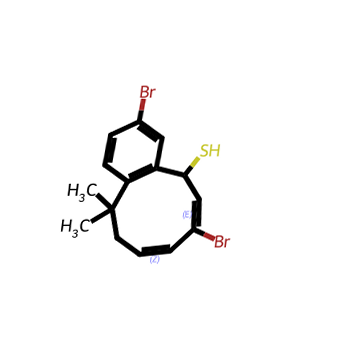 CC1(C)C/C=C\C(Br)=C/C(S)c2cc(Br)ccc21